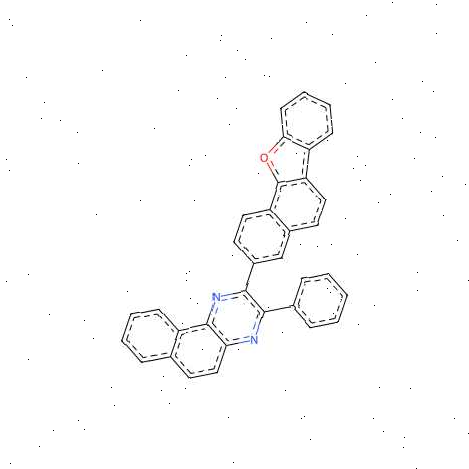 c1ccc(-c2nc3ccc4ccccc4c3nc2-c2ccc3c(ccc4c5ccccc5oc34)c2)cc1